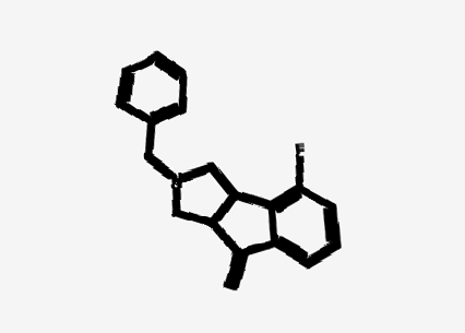 C=C1c2cccc(F)c2C2CN(Cc3ccccc3)CC12